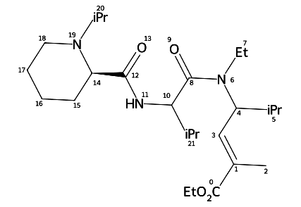 CCOC(=O)/C(C)=C/C(C(C)C)N(CC)C(=O)C(NC(=O)[C@H]1CCCCN1C(C)C)C(C)C